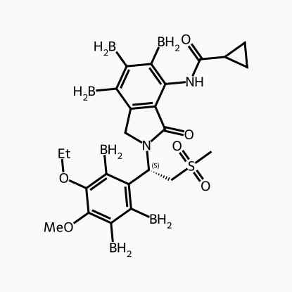 Bc1c(B)c2c(c(NC(=O)C3CC3)c1B)C(=O)N([C@H](CS(C)(=O)=O)c1c(B)c(B)c(OC)c(OCC)c1B)C2